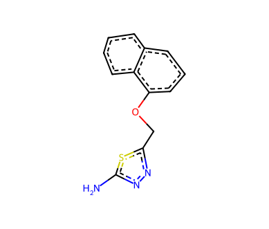 Nc1nnc(COc2cccc3ccccc23)s1